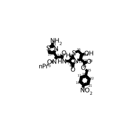 CCCON=C(C(=O)NC1C(=O)N2C(C(=O)OCc3ccc([N+](=O)[O-])cc3)=C(O)CS[C@@H]12)c1csc(N)n1